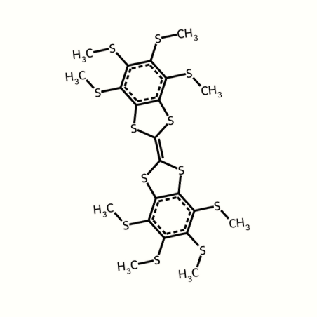 CSc1c(SC)c(SC)c2c(c1SC)SC(=C1Sc3c(SC)c(SC)c(SC)c(SC)c3S1)S2